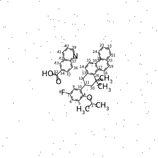 CC(C)Oc1ccc(F)cc1C1Cc2ccc3c(ccc4ccccc43)c2C(C)(C)C1.O=C(O)c1ccc2ncccc2c1